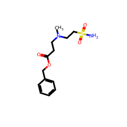 CN(CCC(=O)OCc1ccccc1)CCS(N)(=O)=O